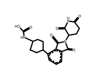 O=C(O)NC1CCC(c2cccc3c2C(=O)N(C2CCC(=O)NC2=O)C3=O)CC1